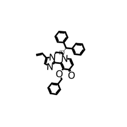 C=Cc1cnc2n1C[C@H](C(c1ccccc1)c1ccccc1)n1ccc(=O)c(OCc3ccccc3)c1-2